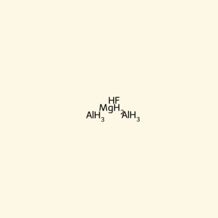 F.[AlH3].[AlH3].[MgH2]